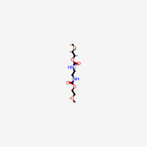 COCCOC(=O)NCCNC(=O)OCCOC